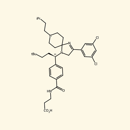 CC(C)CCN1CCC2(CC1)N=C(c1cc(Cl)cc(Cl)c1)CN2[C@H](CCC(C)(C)C)c1ccc(C(=O)NCCC(=O)O)cc1